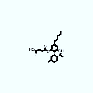 C=C(C)[C@H]1CCC(C)=C[C@@H]1c1c(O)cc(CCCCC)cc1OC(=O)CCC(=O)O